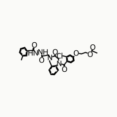 CC(=O)OCCOc1ccc(C(=O)N2CC(=O)N(CC(=O)NNC(=O)c3cccc(C)c3)Cc3ccccc32)c(Cl)c1